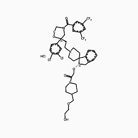 Cl.O=C(CO[C@H]1Cc2ccccc2C12CCN(CC[C@]1(c3ccc(Cl)c(Cl)c3)CN(C(=O)c3cc(C(F)(F)F)cc(C(F)(F)F)c3)CCO1)CC2)N1CCC(COCCO)CC1